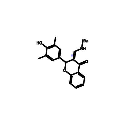 Cc1cc(C2Oc3ccccc3C(=O)/C2=C\NC(C)(C)C)cc(C)c1O